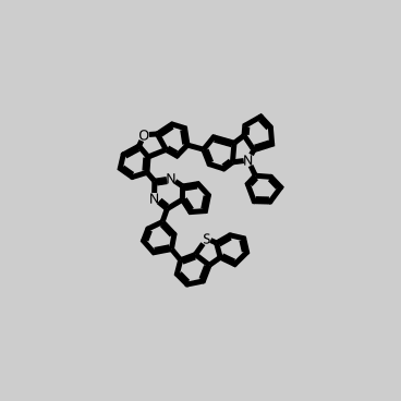 c1ccc(-n2c3ccccc3c3cc(-c4ccc5oc6cccc(-c7nc(-c8cccc(-c9cccc%10c9sc9ccccc9%10)c8)c8ccccc8n7)c6c5c4)ccc32)cc1